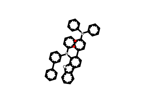 c1ccc(-c2cccc(N(c3ccccc3)c3c(-c4ccc(N(c5ccccc5)c5ccccc5)cc4)ccc4c3oc3ccccc34)c2)cc1